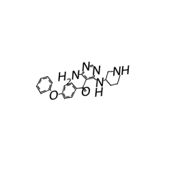 Nc1ncnc(NC2CCCNC2)c1C(=O)c1ccc(Oc2ccccc2)cc1